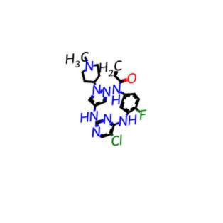 C=CC(=O)Nc1ccc(F)c(Nc2nc(Nc3cnn(C4CCN(C)CC4)c3)ncc2Cl)c1